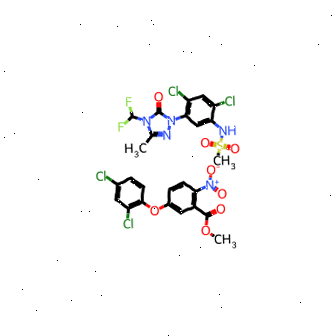 COC(=O)c1cc(Oc2ccc(Cl)cc2Cl)ccc1[N+](=O)[O-].Cc1nn(-c2cc(NS(C)(=O)=O)c(Cl)cc2Cl)c(=O)n1C(F)F